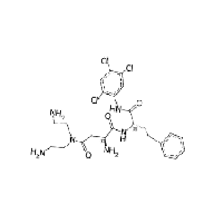 NCCN(CCN)C(=O)C[C@H](N)C(=O)N[C@@H](CCc1ccccc1)C(=O)Nc1cc(Cl)c(Cl)cc1Cl